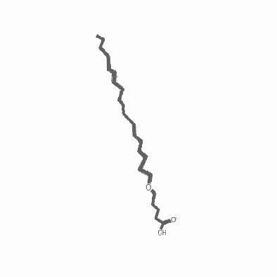 CCCCCCCCCCCCCCCCCCOCCCCC(=O)O